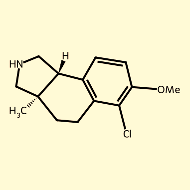 COc1ccc2c(c1Cl)CC[C@@]1(C)CNC[C@H]21